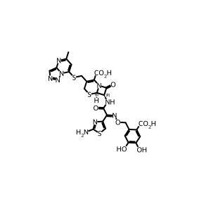 Cc1cc(SCC2=C(C(=O)O)N3C(=O)[C@@H](NC(=O)C(=NOCc4cc(O)c(O)cc4C(=O)O)c4csc(N)n4)[C@H]3SC2)n2nncc2n1